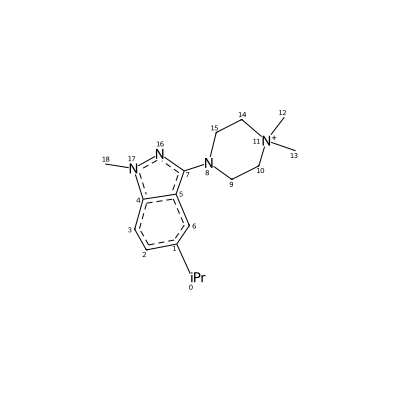 CC(C)c1ccc2c(c1)c(N1CC[N+](C)(C)CC1)nn2C